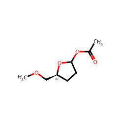 COC[C@@H]1CCC(OC(C)=O)O1